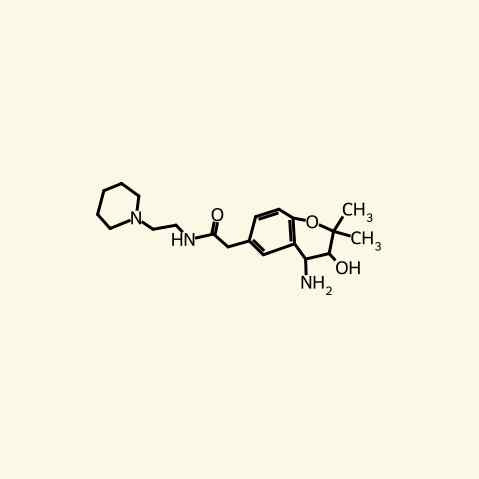 CC1(C)Oc2ccc(CC(=O)NCCN3CCCCC3)cc2C(N)C1O